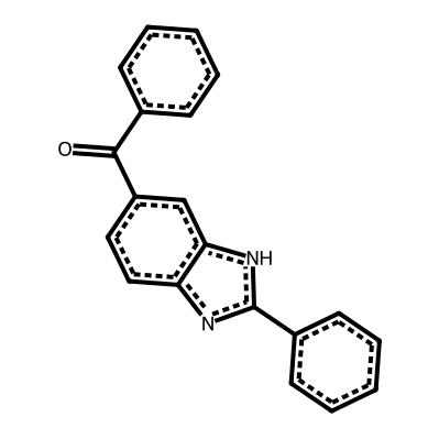 O=C(c1ccccc1)c1ccc2nc(-c3ccccc3)[nH]c2c1